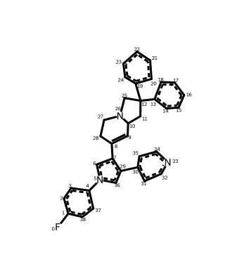 Fc1ccc(-n2cc(C3=CC4CC(c5ccccc5)(c5ccccc5)CN4CC3)c(-c3ccncc3)c2)cc1